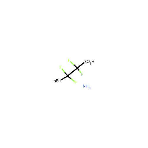 CCCCC(F)(F)C(F)(F)S(=O)(=O)O.N